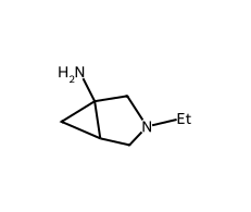 CCN1CC2CC2(N)C1